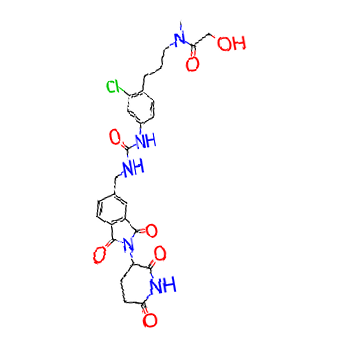 CN(CCCc1ccc(NC(=O)NCc2ccc3c(c2)C(=O)N(C2CCC(=O)NC2=O)C3=O)cc1Cl)C(=O)CO